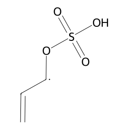 C=C[CH]OS(=O)(=O)O